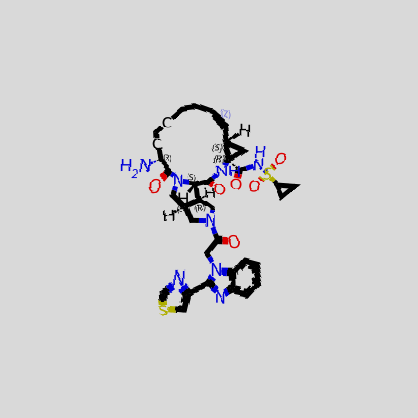 N[C@@H]1CCCCC/C=C\[C@@H]2C[C@@]2(C(=O)NS(=O)(=O)C2CC2)NC(=O)[C@@H]2[C@H]3CN(C(=O)Cn4c(-c5cscn5)nc5ccccc54)C[C@H]3CN2C1=O